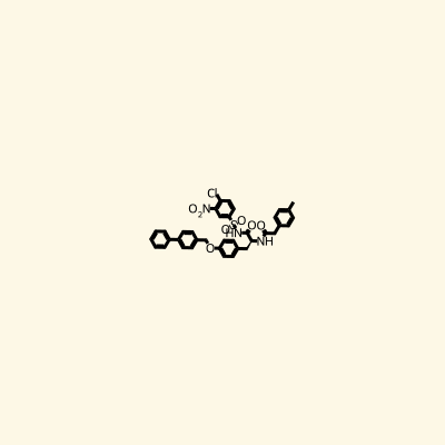 Cc1ccc(CC(=O)N[C@@H](Cc2ccc(OCc3ccc(-c4ccccc4)cc3)cc2)C(=O)NS(=O)(=O)c2ccc(Cl)c([N+](=O)[O-])c2)cc1